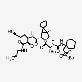 C#CCCC(NC(=O)[C@@H]1C2[C@H](CN1C(=O)[C@@H](NC(=O)NC1(CS(=O)(=O)C(C)(C)C)CCCCC1)C(C)(C)C)C21CCCC1)C(=O)C(=O)NCC=C